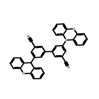 N#Cc1cc(-c2cc(C#N)cc(N3c4ccccc4Oc4ccccc43)c2)cc(C2c3ccccc3Oc3ccccc32)c1